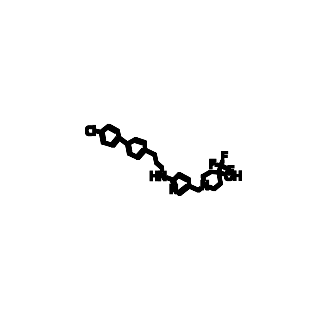 OC1(C(F)(F)F)CCN(Cc2ccc(NCCCc3ccc(-c4ccc(Cl)cc4)cc3)nc2)CC1